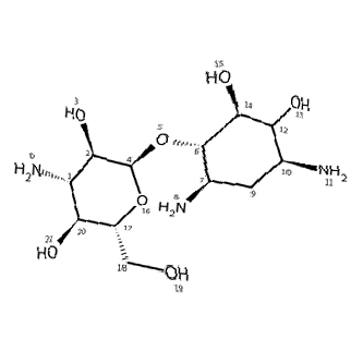 N[C@@H]1[C@@H](O)[C@@H](O[C@H]2[C@H](N)C[C@H](N)C(O)[C@@H]2O)O[C@H](CO)[C@H]1O